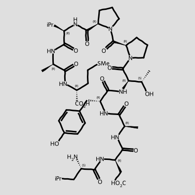 CSCC[C@@H](NC(=O)[C@@H](C)NC(=O)[C@H](NC(=O)[C@H]1CCCN1C(=O)[C@H]1CCCN1C(=O)[C@H](NC(=O)[C@@H](Cc1ccc(O)cc1)NC(=O)[C@@H](C)NC(=O)[C@@H](CC(=O)O)NC(=O)[C@@H](N)CC(C)C)[C@H](C)O)C(C)C)C(=O)O